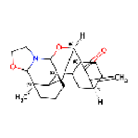 C=C1C(=O)[C@]23CC[C@H]1CC2[C@@]12CCC[C@@]4(C)C5OCCN5C1O[C@@H]3CC42